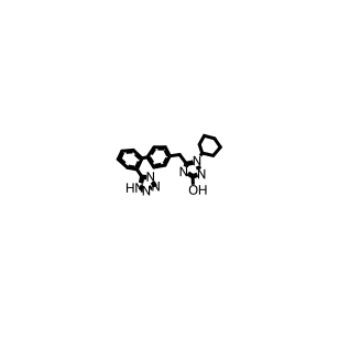 Oc1nc(Cc2ccc(-c3ccccc3-c3nnn[nH]3)cc2)n(C2CCCCC2)n1